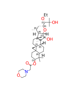 CCO[C@@H]([C@H]1C[C@@H](C)[C@H]2[C@H](O1)[C@H](O)[C@@]1(C)[C@@H]3CC[C@H]4C(C)(C)[C@@H](OC(=O)CN5CCOCC5)CCC45C[C@@]35CC[C@]21C)C(C)(C)O